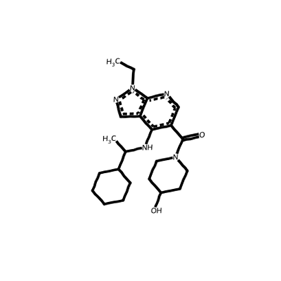 CCn1ncc2c(NC(C)C3CCCCC3)c(C(=O)N3CCC(O)CC3)cnc21